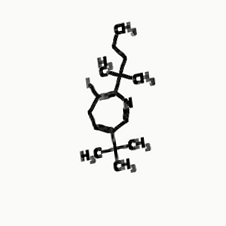 CCCC(C)(C)C1=C(I)CC=C(C(C)(C)C)C=N1